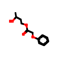 CC(O)CCOC(=O)COc1ccccc1